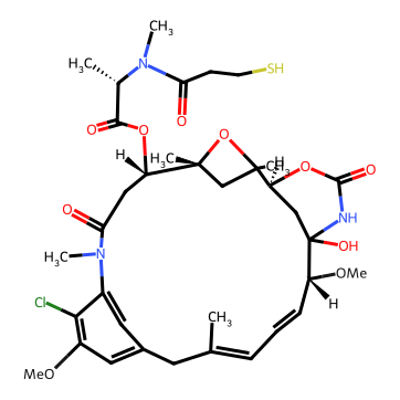 COc1cc2cc(c1Cl)N(C)C(=O)C[C@H](OC(=O)[C@H](C)N(C)C(=O)CCS)[C@@]1(C)CC(C)(O1)[C@@H]1CC(O)(NC(=O)O1)[C@H](OC)/C=C/C=C(\C)C2